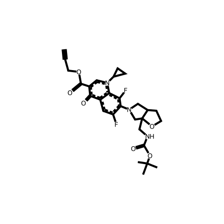 C#CCOC(=O)c1cn(C2CC2)c2c(F)c(N3CC4CCOC4(CNC(=O)OC(C)(C)C)C3)c(F)cc2c1=O